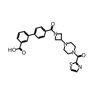 O=C(O)c1cccc(-c2ccc(C(=O)N3CC(N4CCN(C(=O)c5nccs5)CC4)C3)cc2)c1